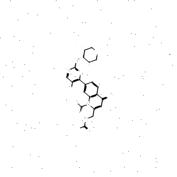 CC(=O)NCc1cc(=O)c2ccc(-c3nc(N[C@@H]4CCOC[C@H]4O)ncc3F)cc2n1C(C)C